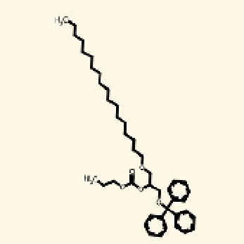 CCCCCCCCCCCCCCCCCCOCC(COC(c1ccccc1)(c1ccccc1)c1ccccc1)OC(=O)OCCC